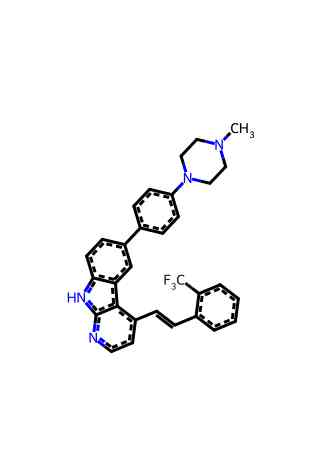 CN1CCN(c2ccc(-c3ccc4[nH]c5nccc(C=Cc6ccccc6C(F)(F)F)c5c4c3)cc2)CC1